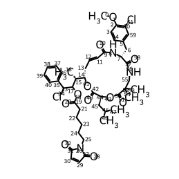 COc1ccc(C[C@H]2NC(=O)/C=C/C[C@@H]([C@H](C)C(OC(=O)CCCCCN3C(=O)C=CC3=O)C(Cl)c3ccccc3)OC(=O)[C@H](CC(C)C)OC(=O)C(C)(C)CNC2=O)cc1Cl